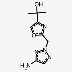 CC(C)(O)c1coc(Cn2ncc(N)n2)n1